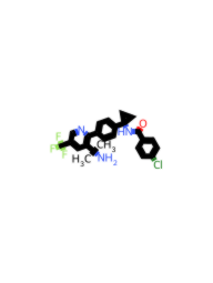 CC(C)(N)c1cc(C(F)(F)F)cnc1-c1ccc(C2(NC(=O)c3ccc(Cl)cc3)CC2)cc1